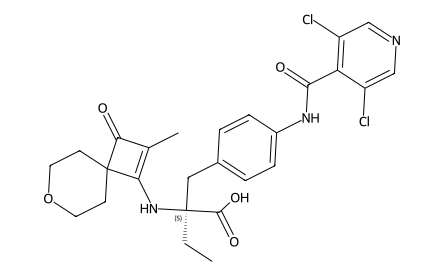 CC[C@@](Cc1ccc(NC(=O)c2c(Cl)cncc2Cl)cc1)(NC1=C(C)C(=O)C12CCOCC2)C(=O)O